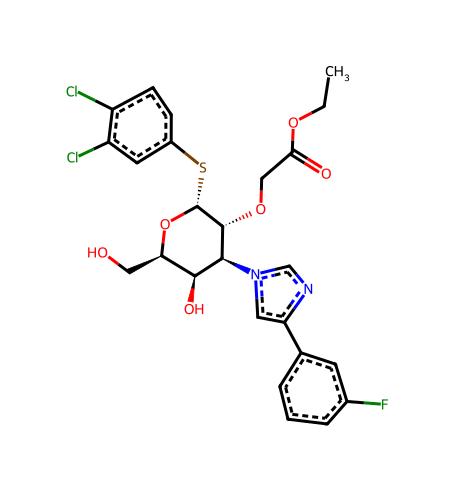 CCOC(=O)CO[C@@H]1[C@@H](n2cnc(-c3cccc(F)c3)c2)[C@@H](O)[C@@H](CO)O[C@@H]1Sc1ccc(Cl)c(Cl)c1